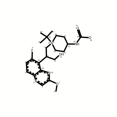 COc1cnc2ccc(F)c(C(CO)C[N+]3(C(C)(C)C)CCC(NC(=O)[O-])CC3)c2n1